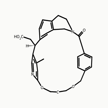 Cc1cc2ncc1[C@@H](CC(=O)O)c1ccc3c(c1)CN(CC3)C(=O)c1ccc(cc1)COCCCO2